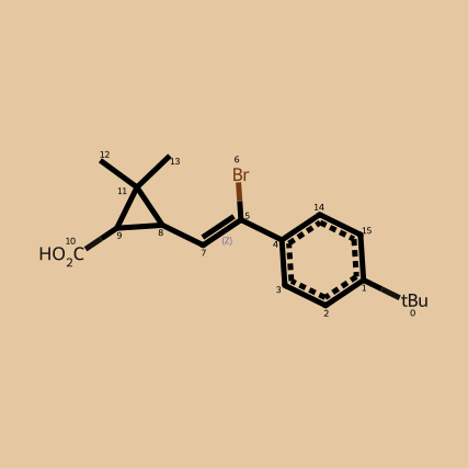 CC(C)(C)c1ccc(/C(Br)=C/C2C(C(=O)O)C2(C)C)cc1